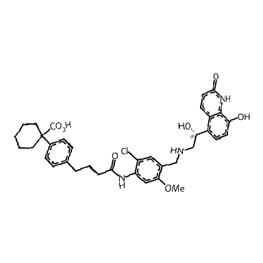 COc1cc(NC(=O)CCCc2ccc(C3(C(=O)O)CCCCC3)cc2)c(Cl)cc1CNC[C@H](O)c1ccc(O)c2[nH]c(=O)ccc12